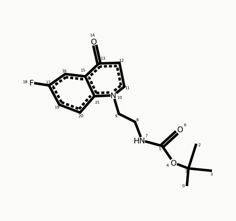 CC(C)(C)OC(=O)NCCn1ccc(=O)c2cc(F)ccc21